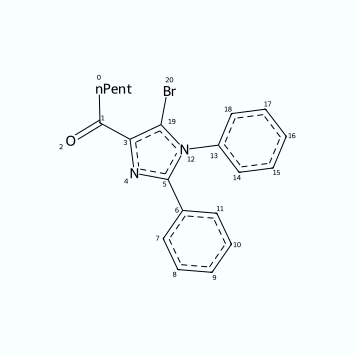 CCCCCC(=O)c1nc(-c2ccccc2)n(-c2ccccc2)c1Br